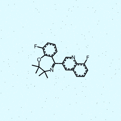 CC1(C)N=C(c2cnc3c(F)cccc3c2)c2cccc(F)c2OC1(C)C